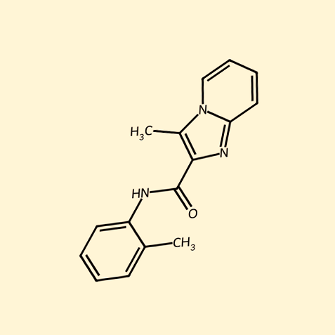 Cc1ccccc1NC(=O)c1nc2ccccn2c1C